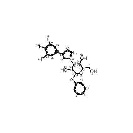 OC[C@H]1O[C@@H](Sc2ccccc2)[C@@H](O)[C@@H](n2cc(-c3cc(F)c(F)c(F)c3)cn2)[C@H]1O